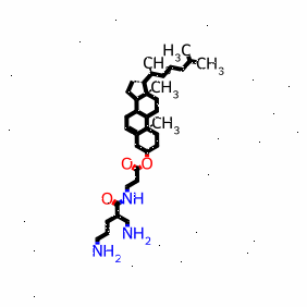 CC(C)CCC[C@@H](C)[C@H]1CCC2C3CC=C4CC(OC(=O)CCNC(=O)C(CN)CCCN)CC[C@]4(C)C3CC[C@@]21C